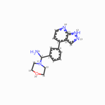 NC(c1cccc(-c2ccnc3[nH]ncc23)c1)N1CCOCC1